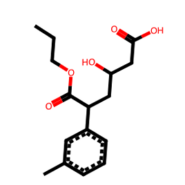 CCCOC(=O)C(CC(O)CC(=O)O)c1cccc(C)c1